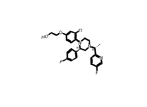 C[C@H](c1ccc(F)cn1)N1CCN(c2ccc(OCCO)cc2Cl)[C@H](c2ccc(F)cc2)C1